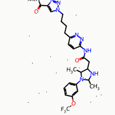 CNC(=O)c1cn(CCCCc2ccc(NC(=O)CC3NC(C)N(c4cccc(OC(F)(F)F)c4)C3C)nn2)nn1